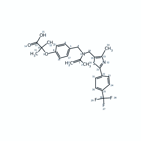 C=C(C)N(Cc1ccc(OC(C)(C)C(=O)O)cc1)Cc1sc(-c2ccc(C(F)(F)F)cc2)nc1C